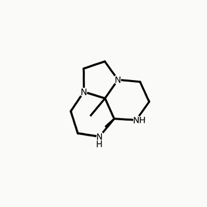 CC12NCCN3CCN(CCN1)C32C